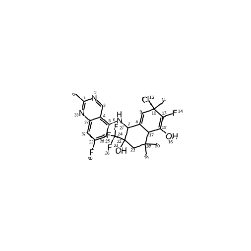 Cc1ncc2c(NC3C4=CC(C)(Cl)C(F)=C(O)C4C(C)(C)CC3(O)C(F)(F)F)cc(F)cc2n1